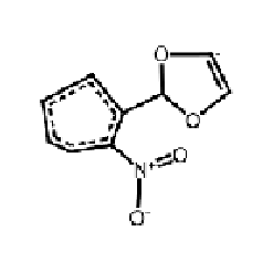 O=[N+]([O-])c1ccccc1C1O[C]=CO1